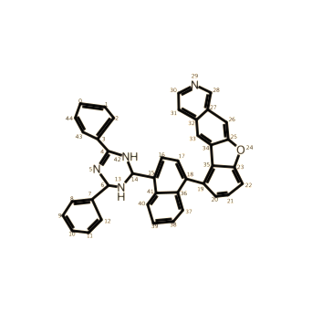 c1ccc(C2=NC(c3ccccc3)NC(c3ccc(-c4cccc5oc6cc7cnccc7cc6c45)c4ccccc34)N2)cc1